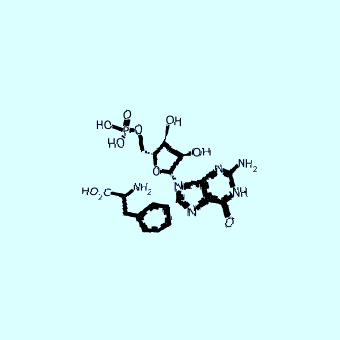 NC(Cc1ccccc1)C(=O)O.Nc1nc2c(ncn2[C@@H]2O[C@H](COP(=O)(O)O)[C@@H](O)[C@H]2O)c(=O)[nH]1